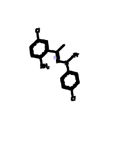 C/C(=N\N(c1ccc(Cl)cc1)C(C)C)c1cc(Cl)ccc1N